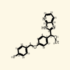 CCOC(c1ccc(OCc2ccc(F)cc2)cc1)c1nc2cccnc2[nH]1